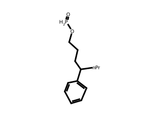 CCCC(CCCO[PH2]=O)c1ccccc1